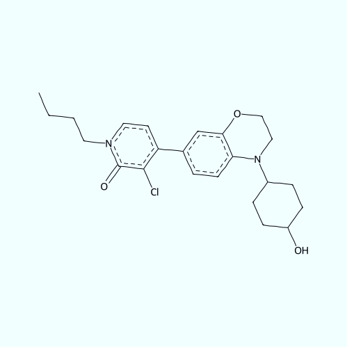 CCCCn1ccc(-c2ccc3c(c2)OCCN3C2CCC(O)CC2)c(Cl)c1=O